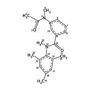 CC(=O)N(C)c1cccc(C(=O)N(C)c2c(C)cc(C)cc2C)c1